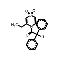 CCC1=CS(=O)(=O)C=CN1C(=O)C(Cl)(c1ccccc1)c1ccccc1